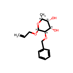 C=CCO[C@H]1O[C@H](C)[C@H](O)[C@H](O)[C@H]1OCc1ccccc1